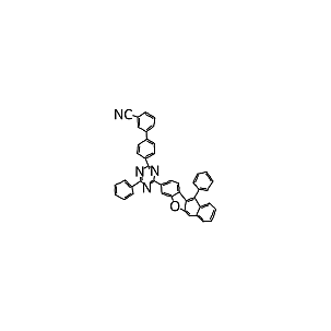 N#Cc1cccc(-c2ccc(-c3nc(-c4ccccc4)nc(-c4ccc5c(c4)oc4cc6ccccc6c(-c6ccccc6)c45)n3)cc2)c1